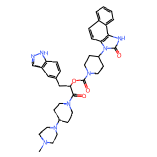 CN1CCN(C2CCN(C(=O)C(Cc3ccc4[nH]ncc4c3)OC(=O)N3CCC(n4c(=O)[nH]c5c6ccccc6ccc54)CC3)CC2)CC1